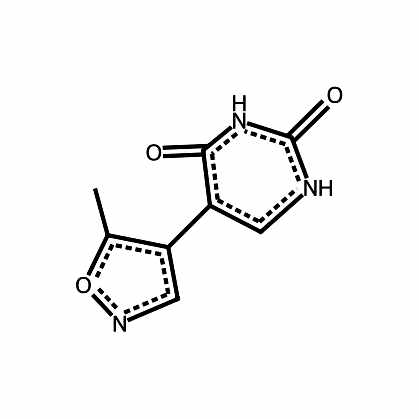 Cc1oncc1-c1c[nH]c(=O)[nH]c1=O